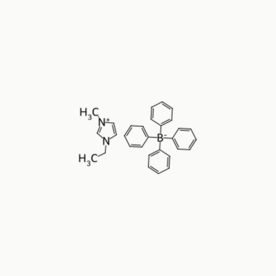 CCn1cc[n+](C)c1.c1ccc([B-](c2ccccc2)(c2ccccc2)c2ccccc2)cc1